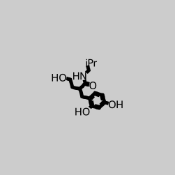 CC(C)CNC(=O)C(CCO)Cc1ccc(O)cc1O